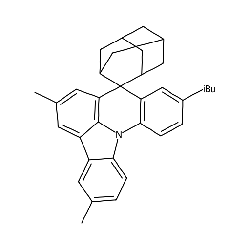 CCC(C)c1ccc2c(c1)C1(c3cc(C)cc4c5cc(C)ccc5n-2c34)C2CC3CC(C2)CC1C3